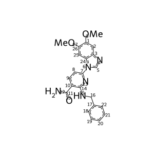 COc1cc2ncn(-c3ccc(C(N)=O)c(NCc4ccccc4)n3)c2cc1OC